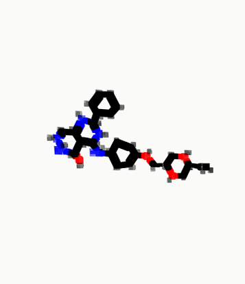 C[C@H]1CO[C@H](COc2ccc(Nc3nc(-c4ccccc4)nc4cn[nH]c(=O)c34)cc2)CO1